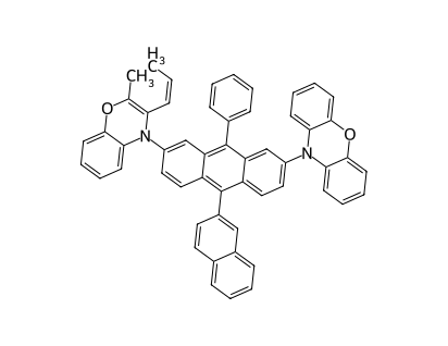 C/C=C\C1=C(C)Oc2ccccc2N1c1ccc2c(-c3ccc4ccccc4c3)c3ccc(N4c5ccccc5Oc5ccccc54)cc3c(-c3ccccc3)c2c1